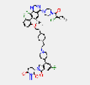 C=C(Cl)C(=O)N1CCN(c2ncnc3c(F)c(-c4c(F)cccc4OCCC4CCC(CCN5CCC(c6cc(F)cc7c6CN(C6CCC(=O)NC6=O)C7=O)CC5)CC4)c(C)cc23)CC1